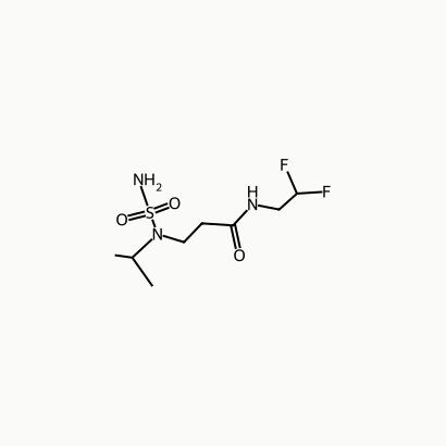 CC(C)N(CCC(=O)NCC(F)F)S(N)(=O)=O